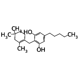 CCCCCc1cc(O)c(CC2=C(C)CC(C)(C)CC2)c(O)c1